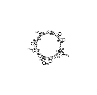 CCCC[C@H]1C(=O)N(C)CC(=O)N[C@@H](CC(O)=P)C(=O)N[C@@H](C(C)C)C(=O)N(C)[C@@H](Cc2ccccc2)C(=O)N[C@@H](Cc2ccc(O)cc2)C(=O)N2CCCC[C@@H]2C(=O)N[C@@H](Cc2c[nH]c3ccccc23)C(=O)N[C@@H](Cc2ccc(O)cc2)C(=O)N[C@@H](CC(C)C)C(=O)N[C@H](C(=O)NCC(N)=O)CSCC(=O)N[C@@H](Cc2ccccc2)C(=O)N(C)[C@@H](Cc2ccccc2)C(=O)N1C